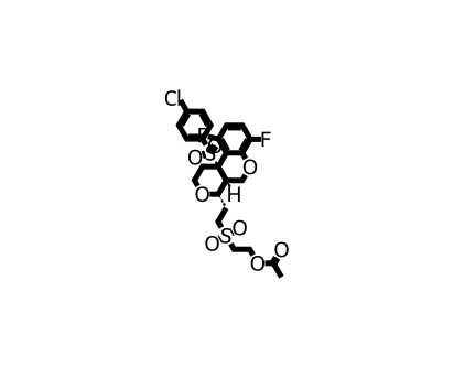 CC(=O)OCCS(=O)(=O)CC[C@@H]1OCC[C@@]2(S(=O)(=O)c3ccc(Cl)cc3)c3c(F)ccc(F)c3OC[C@@H]12